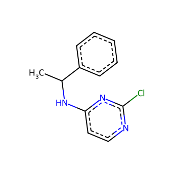 CC(Nc1ccnc(Cl)n1)c1ccccc1